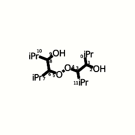 CC(C)C(O)C(OOC(C(C)C)C(O)C(C)C)C(C)C